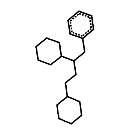 [c]1ccc(CC(CCC2CCCCC2)C2CCCCC2)cc1